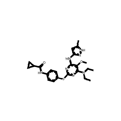 CCN(CC)c1nc(Sc2ccc(NC(=O)C3CC3)cc2)nc(Nc2cc(C)[nH]n2)c1OC